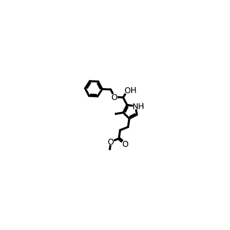 COC(=O)CCc1c[nH]c(C(O)OCc2ccccc2)c1C